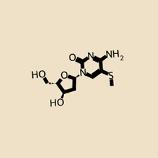 CSc1cn([C@@H]2C[C@@H](O)[C@H](CO)O2)c(=O)nc1N